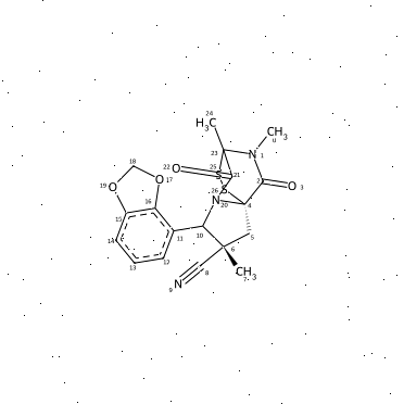 CN1C(=O)[C@@]23C[C@](C)(C#N)C(c4cccc5c4OCO5)N2C(=O)C1(C)SS3